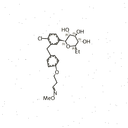 CC[C@H]1O[C@@H](c2ccc(Cl)c(Cc3ccc(OCCC=NOC)cc3)c2)[C@H](O)[C@@H](O)[C@@H]1O